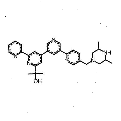 CC1CN(Cc2ccc(-c3cncc(-c4cc(-c5ccccn5)nc(C(C)(C)O)c4)c3)cc2)CC(C)N1